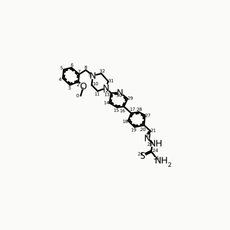 COc1ccccc1CN1CCN(c2ccc(-c3ccc(C=NNC(N)=S)cc3)cn2)CC1